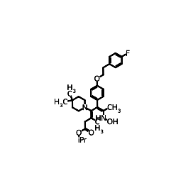 C/C(CC(=O)OC(C)C)=C(\C(=C(\C)NO)c1ccc(OCCc2ccc(F)cc2)cc1)N1CCC(C)(C)CC1